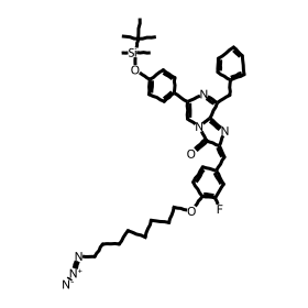 CC(C)(C)[Si](C)(C)Oc1ccc(C2=CN3C(=O)C(=Cc4ccc(OCCCCCCCCN=[N+]=[N-])c(F)c4)N=C3C(Cc3ccccc3)=N2)cc1